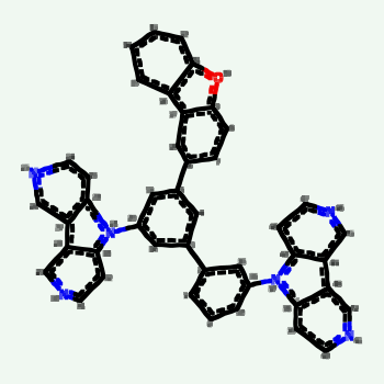 c1cc(-c2cc(-c3ccc4oc5ccccc5c4c3)cc(-n3c4ccncc4c4cnccc43)c2)cc(-n2c3ccncc3c3cnccc32)c1